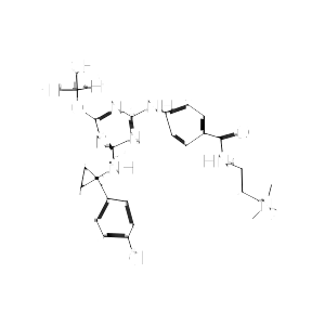 [2H]C([2H])(Oc1nc(Nc2ccc(C(=O)NCC[N+](C)(C)C)cc2)nc(NC2(c3ccc(Cl)cc3)CC2)n1)C(F)(F)F